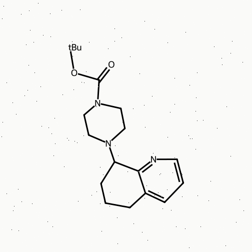 CC(C)(C)OC(=O)N1CCN(C2CCCc3cccnc32)CC1